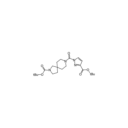 CC(C)(C)OC(=O)c1ccn(C(=O)N2CCC3(CCN(C(=O)OC(C)(C)C)C3)CC2)n1